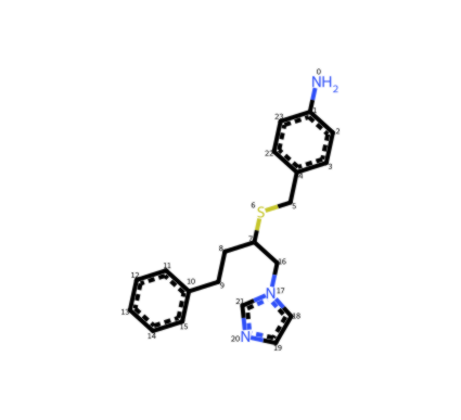 Nc1ccc(CSC(CCc2ccccc2)Cn2ccnc2)cc1